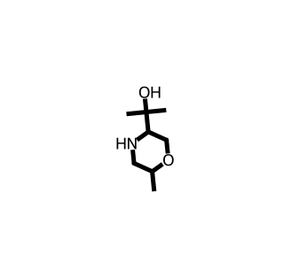 CC1CNC(C(C)(C)O)CO1